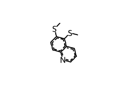 CSc1ccc2ncccc2c1SC